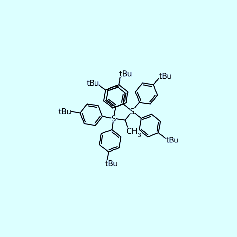 CC(S(c1ccc(C(C)(C)C)cc1)(c1ccc(C(C)(C)C)cc1)c1ccc(C(C)(C)C)cc1)S(c1ccc(C(C)(C)C)cc1)(c1ccc(C(C)(C)C)cc1)c1ccc(C(C)(C)C)cc1